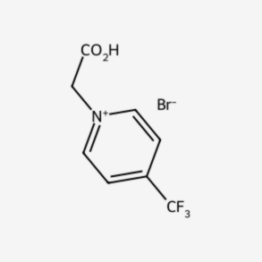 O=C(O)C[n+]1ccc(C(F)(F)F)cc1.[Br-]